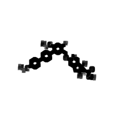 Cc1ccc(-c2ccc(-c3cc(COc4cc5c(cn4)[C@H]4[C@@H](C5)[C@@H]4C(=O)O)c(F)cc3C)cc2)cc1